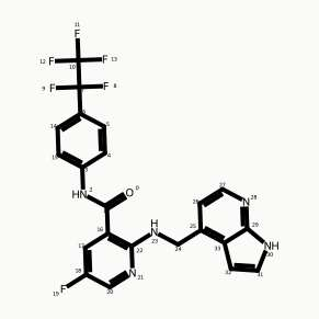 O=C(Nc1ccc(C(F)(F)C(F)(F)F)cc1)c1cc(F)cnc1NCc1ccnc2[nH]ccc12